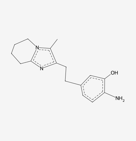 Cc1c(CCc2ccc(N)c(O)c2)nc2n1CCCC2